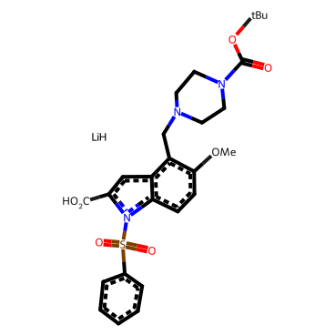 COc1ccc2c(cc(C(=O)O)n2S(=O)(=O)c2ccccc2)c1CN1CCN(C(=O)OC(C)(C)C)CC1.[LiH]